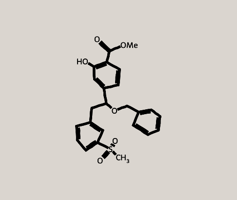 COC(=O)c1ccc(C(Cc2cccc(S(C)(=O)=O)c2)OCc2ccccc2)cc1O